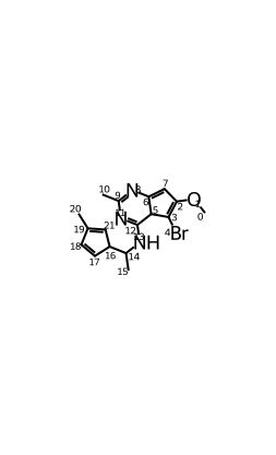 COC1=C(Br)C2C(=C1)N=C(C)N=C2NC(C)C1C=CC(C)=C1